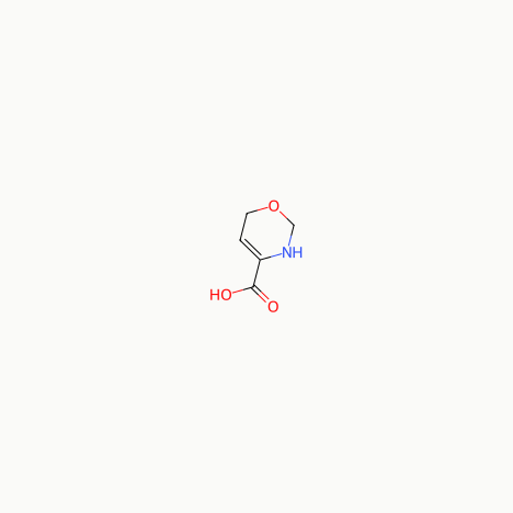 O=C(O)C1=CCOCN1